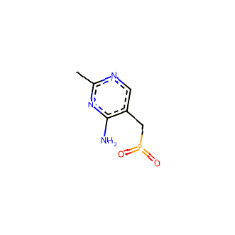 Cc1ncc(CP(=O)=O)c(N)n1